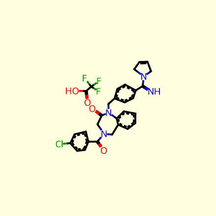 N=C(c1ccc(CN2C(=O)CN(C(=O)c3ccc(Cl)cc3)Cc3ccccc32)cc1)N1CC=CC1.O=C(O)C(F)(F)F